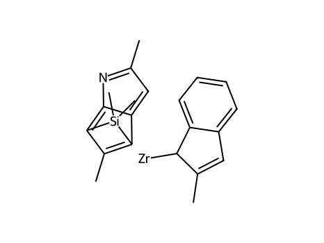 CC1=Cc2ccccc2[CH]1[Zr].CC1=NC2=C3C(C)=C(C2=C1)[Si]3(C)C